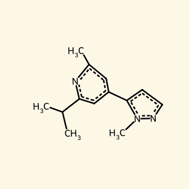 Cc1cc(-c2ccnn2C)cc(C(C)C)n1